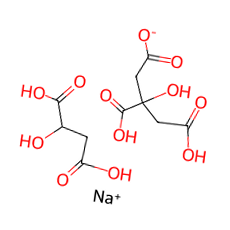 O=C(O)CC(O)C(=O)O.O=C([O-])CC(O)(CC(=O)O)C(=O)O.[Na+]